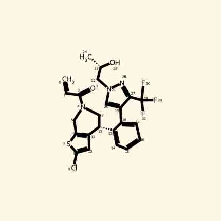 C=CC(=O)N1Cc2sc(Cl)cc2[C@@H](c2ccccc2-c2cn(C[C@H](C)O)nc2C(F)(F)F)C1